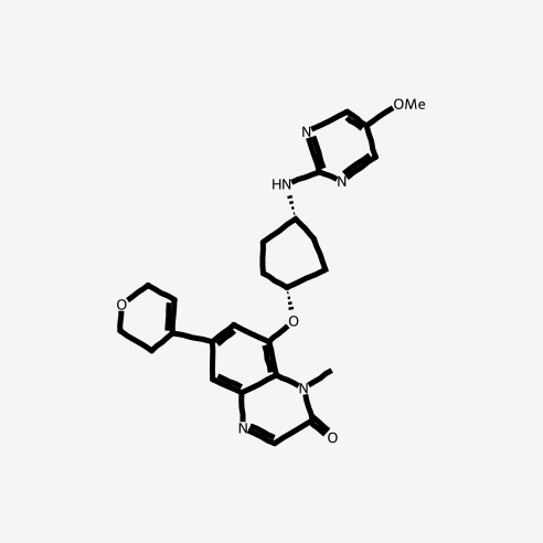 COc1cnc(N[C@H]2CC[C@@H](Oc3cc(C4=CCOCC4)cc4ncc(=O)n(C)c34)CC2)nc1